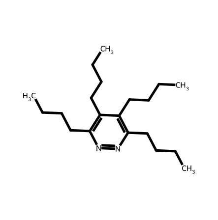 CCCCc1nnc(CCCC)c(CCCC)c1CCCC